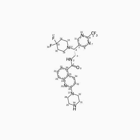 O=C(NC[C@@H](c1cnc(C(F)(F)F)nc1)N1CCC(F)(F)CC1)c1cccc2nc(N3CCNCC3)ccc12